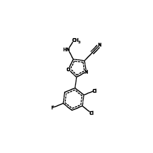 CNc1oc(-c2cc(F)cc(Cl)c2Cl)nc1C#N